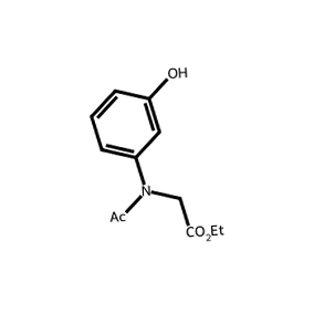 CCOC(=O)CN(C(C)=O)c1cccc(O)c1